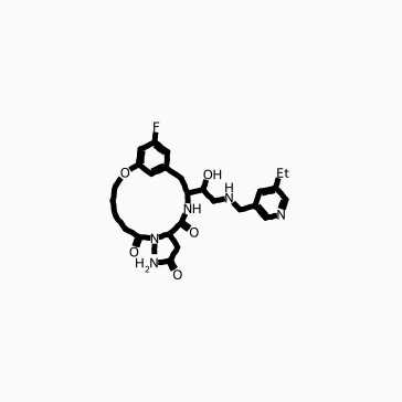 CCc1cncc(CNCC(O)C2Cc3cc(F)cc(c3)OCCCCC(=O)N(C)C(CC(N)=O)C(=O)N2)c1